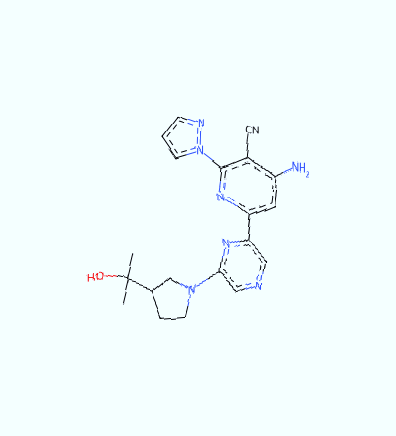 CC(C)(O)C1CCN(c2cncc(-c3cc(N)c(C#N)c(-n4cccn4)n3)n2)C1